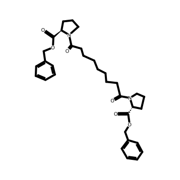 O=C(OCc1ccccc1)[C@H]1CCCN1C(=O)CCCCCCCC(=O)N1CCC[C@@H]1C(=O)OCc1ccccc1